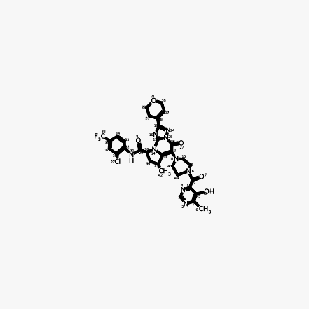 Cc1ncnc(C(=O)N2CCN(c3c4n(c5nc(C6=CCOCC6)nn5c3=O)C(C(=O)Nc3ccc(C(F)(F)F)cc3Cl)CC4C)CC2)c1O